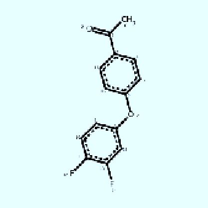 CC(=O)c1ccc(Oc2ccc(F)c(F)c2)cc1